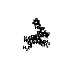 C=CC(=O)N[C@H](C(=O)N1CC2C(C1C(=O)NC(CC1CC1)C(=O)C(=O)NCc1ccccc1)C2(C)C)C(C)(C)C